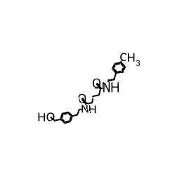 Cc1ccc(CCNC(=O)CCCC(=O)NCCc2ccc(CO)cc2)cc1